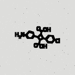 Nc1ccc(C2C(C(=O)O)C(c3ccc(Cl)cc3)C2C(=O)O)cc1